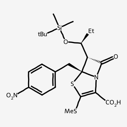 CC[C@H](O[Si](C)(C)C(C)(C)C)[C@@H]1C(=O)N2C(C(=O)O)=C(SC)S[C@]12Cc1ccc([N+](=O)[O-])cc1